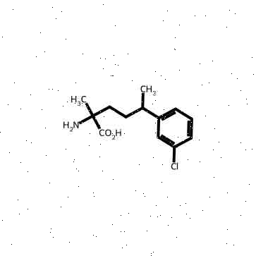 CC(CCC(C)(N)C(=O)O)c1cccc(Cl)c1